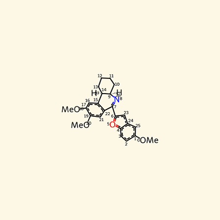 COc1ccc2oc(C3=N[C@@H]4CCCC[C@@H]4c4cc(OC)c(OC)cc43)cc2c1